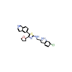 N[C@H](CNc1nc(C2CCCO2)c(-c2ccc3cnccc3c2)s1)Cc1ccc(Cl)cc1